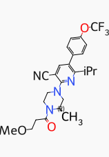 COCCC(=O)N1CCN(c2nc(C(C)C)c(-c3ccc(OC(F)(F)F)cc3)cc2C#N)C[C@H]1C